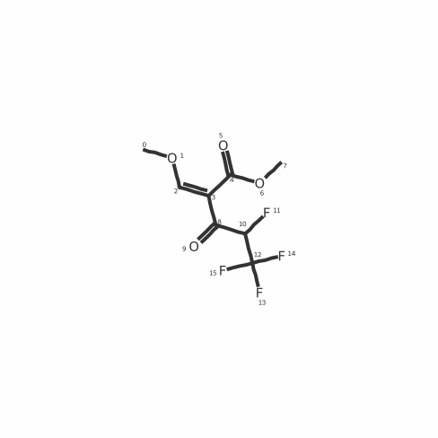 COC=C(C(=O)OC)C(=O)C(F)C(F)(F)F